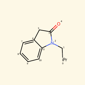 CC(C)CN1C(=O)Cc2ccccc21